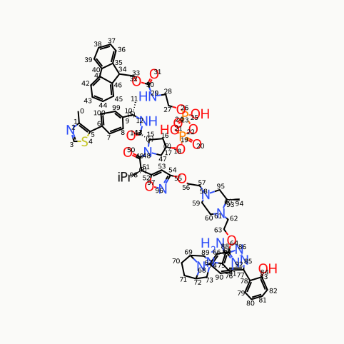 Cc1ncsc1-c1ccc([C@H](C)NC(=O)[C@@H]2C[C@@H](OP(=O)(O)OP(=O)(O)OCCNC(=O)OCC3c4ccccc4-c4ccccc43)CN2C(=O)[C@@H](c2cc(OCCN3CCN(CCOc4cc(N5C6CCC5CN(c5cc(-c7ccccc7O)nnc5N)C6)ccn4)[C@H](C)C3)no2)C(C)C)cc1